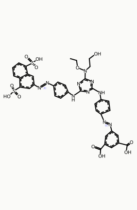 CCON(CCO)c1nc(Nc2ccc(/N=N/c3cc(C(=O)O)cc(C(=O)O)c3)cc2)nc(Nc2ccc(/N=N/c3cc(S(=O)(=O)O)c4cccc(S(=O)(=O)O)c4c3)cc2)n1